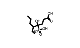 CCCC(CC)C(O)(CCC(=O)O)P(=O)(O)O